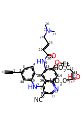 C#Cc1cccc(Nc2c(C#N)cnc3cc(OCC)c(NC(=O)C=CCN(C)C)cc23)c1.O.O=C(O)/C=C\C(=O)O